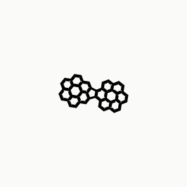 c1cc2ccc3cc4c5c(cc6ccc7ccc1c1c2c3c5c6c71)-c1c-4c2ccc3ccc4ccc5ccc6ccc1c1c6c5c4c3c21